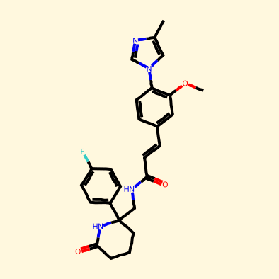 COc1cc(/C=C/C(=O)NCC2(c3ccc(F)cc3)CCCC(=O)N2)ccc1-n1cnc(C)c1